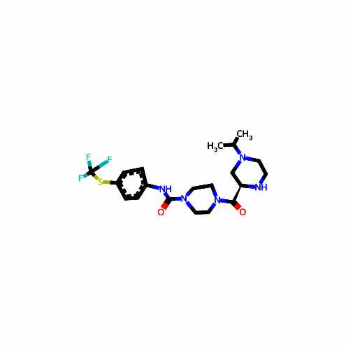 CC(C)N1CCN[C@@H](C(=O)N2CCN(C(=O)Nc3ccc(SC(F)(F)F)cc3)CC2)C1